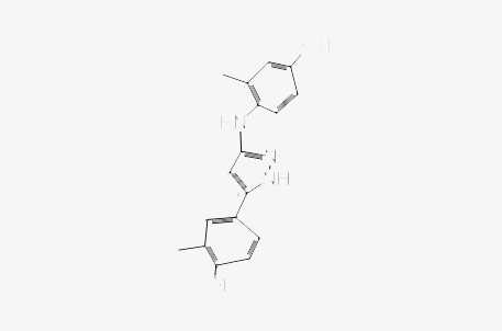 Cc1cc(-c2cc(Nc3ccc(O)cc3C)n[nH]2)ccc1O